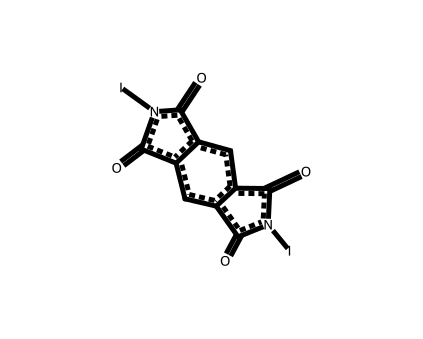 O=c1c2cc3c(=O)n(I)c(=O)c3cc2c(=O)n1I